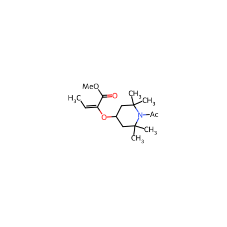 CC=C(OC1CC(C)(C)N(C(C)=O)C(C)(C)C1)C(=O)OC